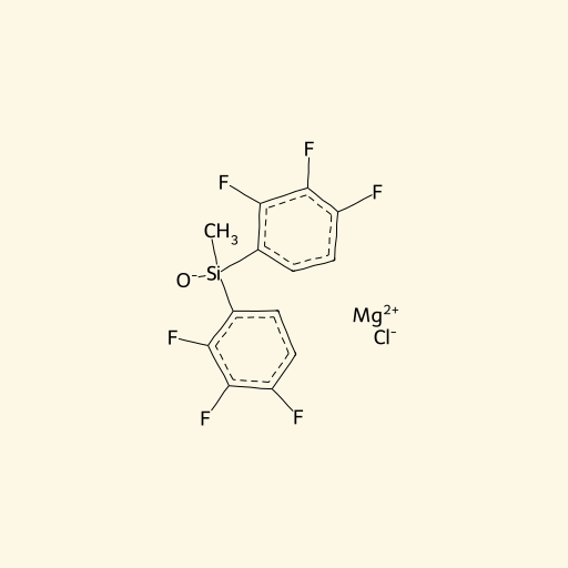 C[Si]([O-])(c1ccc(F)c(F)c1F)c1ccc(F)c(F)c1F.[Cl-].[Mg+2]